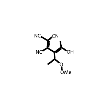 COOC(C)/C(C(C#N)=C(C#N)C#N)=C(/C)O